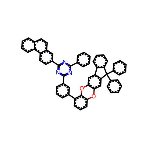 c1ccc(-c2nc(-c3cccc(-c4cccc5c4Oc4cc6c(cc4O5)C(c4ccccc4)(c4ccccc4)c4ccccc4-6)c3)nc(-c3ccc4c(ccc5ccccc54)c3)n2)cc1